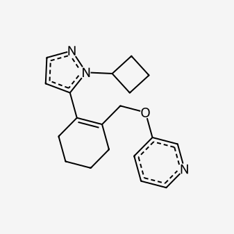 c1cncc(OCC2=C(c3ccnn3C3CCC3)CCCC2)c1